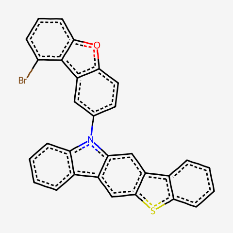 Brc1cccc2oc3ccc(-n4c5ccccc5c5cc6sc7ccccc7c6cc54)cc3c12